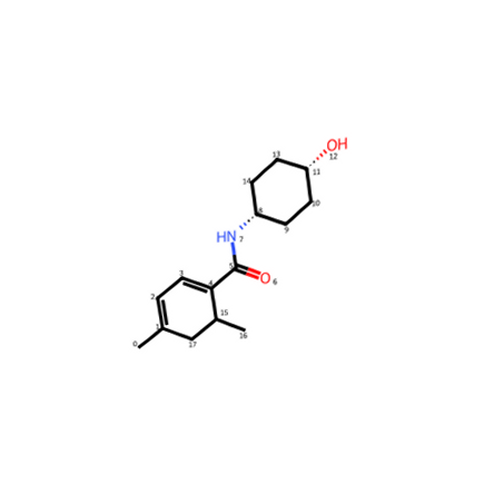 CC1=CC=C(C(=O)N[C@H]2CC[C@@H](O)CC2)C(C)C1